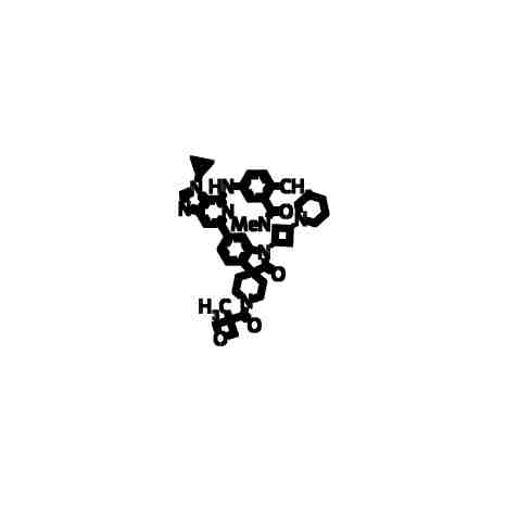 CNC(=O)c1cc(Nc2nc(-c3ccc4c(c3)N([C@H]3C[C@@H](N5CCCCC5)C3)C(=O)C43CCN(C(=O)C4(C)COC4)CC3)cc3ncn(C4CC4)c23)ccc1C